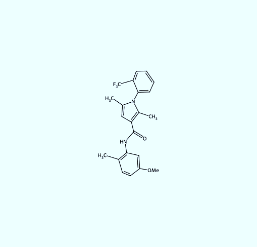 COc1ccc(C)c(NC(=O)c2cc(C)n(-c3ccccc3C(F)(F)F)c2C)c1